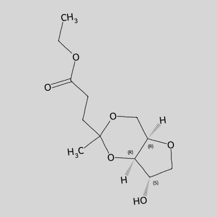 CCOC(=O)CCC1(C)OC[C@H]2OC[C@H](O)[C@H]2O1